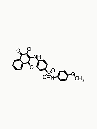 COc1ccc(NS(=O)(=O)c2ccc(NC3=C(Cl)C(=O)c4ccccc4C3=O)cc2)cc1